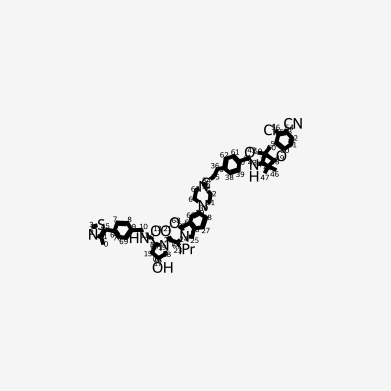 Cc1ncsc1-c1ccc(CNC(=O)[C@@H]2C[C@@H](O)CN2C(=O)[C@H](C(C)C)N2Cc3ccc(N4CCN(CCCc5ccc(C(=O)NC6C(C)(C)C(Oc7ccc(C#N)c(Cl)c7)C6(C)C)cc5)CC4)cc3C2=O)cc1